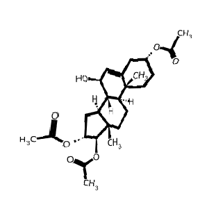 CC(=O)O[C@@H]1CC[C@@]2(C)C(=C[C@H](O)[C@H]3[C@@H]4C[C@@H](OC(C)=O)[C@H](OC(C)=O)[C@@]4(C)CC[C@@H]32)C1